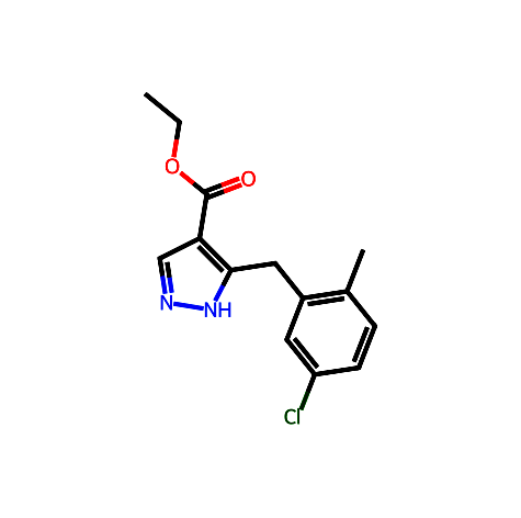 CCOC(=O)c1cn[nH]c1Cc1cc(Cl)ccc1C